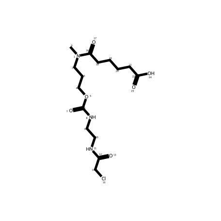 CN(CCCOC(=O)NCCNC(=O)CCl)C(=O)CCCCC(=O)O